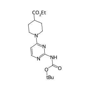 CCOC(=O)C1CCN(c2ccnc(NC(=O)OC(C)(C)C)n2)CC1